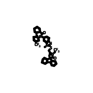 Cn1c(SCCCC2(C(=O)NCC(F)(F)F)c3ccccc3-c3ccccc32)nc2ccc(NC(=O)c3ccccc3-c3ccc(C(F)(F)F)cc3)cc21